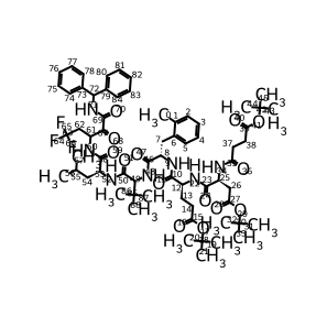 Cc1ccccc1C[C@H](NC(=O)[C@H](CCC(=O)OC(C)(C)C)NC(=O)[C@H](CC(=O)OC(C)(C)C)NC(=O)CCC(=O)OC(C)(C)C)C(=O)N[C@H](C(=O)N[C@@H](CC(C)C)C(=O)NC(CC(F)(F)F)C(=O)C(=O)NC(c1ccccc1)c1ccccc1)C(C)(C)C